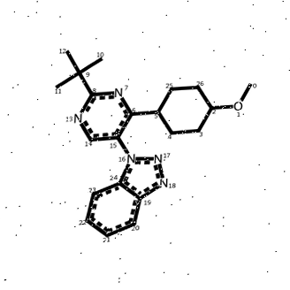 COC1CCC(c2nc(C(C)(C)C)ncc2-n2nnc3ccccc32)CC1